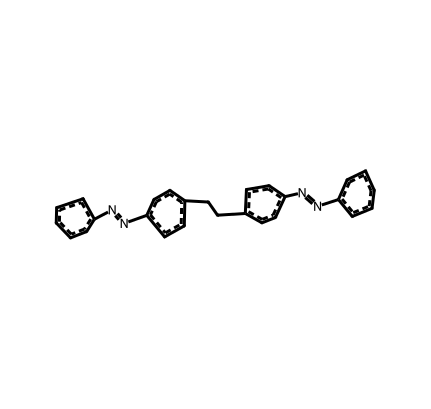 c1ccc(N=Nc2ccc(CCc3ccc(N=Nc4ccccc4)cc3)cc2)cc1